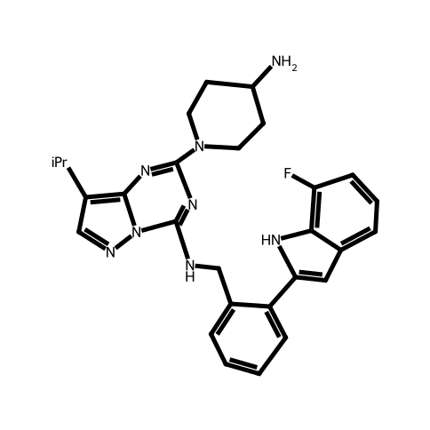 CC(C)c1cnn2c(NCc3ccccc3-c3cc4cccc(F)c4[nH]3)nc(N3CCC(N)CC3)nc12